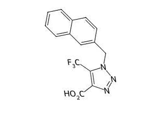 O=C(O)c1nnn(Cc2ccc3ccccc3c2)c1C(F)(F)F